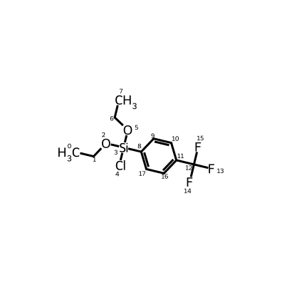 CCO[Si](Cl)(OCC)c1ccc(C(F)(F)F)cc1